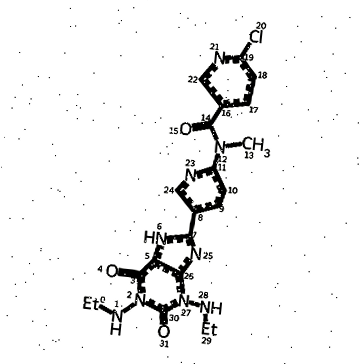 CCNn1c(=O)c2[nH]c(-c3ccc(N(C)C(=O)c4ccc(Cl)nc4)nc3)nc2n(NCC)c1=O